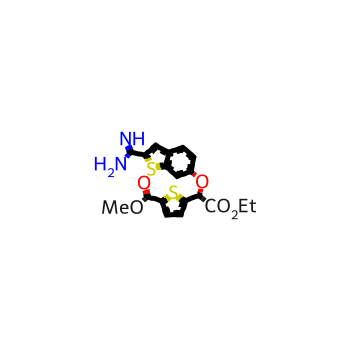 CCOC(=O)C(Oc1ccc2cc(C(=N)N)sc2c1)c1ccc(C(=O)OC)s1